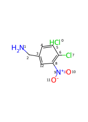 Cl.NCc1ccc(Cl)c([N+](=O)[O-])c1